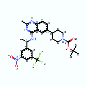 Cc1nc(N[C@H](C)c2cc([N+](=O)[O-])cc(C(F)(F)F)c2)c2cc(C3CCN(C(=O)OC(C)(C)C)CC3)ccc2n1